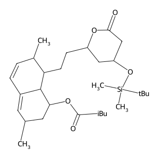 CCC(C)C(=O)OC1CC(C)C=C2C=CC(C)C(CCC3CC(O[Si](C)(C)C(C)(C)C)CC(=O)O3)C21